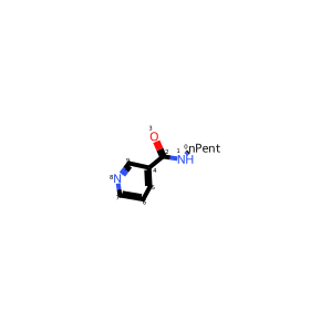 CCCCCNC(=O)c1cccnc1